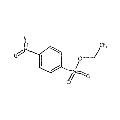 C[PH](=O)c1ccc(S(=O)(=O)OCC(F)(F)F)cc1